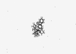 CC1C=CC=C2N1[C@]1(NC3(C=CC=C3)c3c1ccc1c3oc3ccccc31)[C@H]1C=CC=CC21C